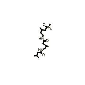 CC(C)CC(=O)NCC(C)CC(=O)NCCC(C)CC(=O)N(C)C